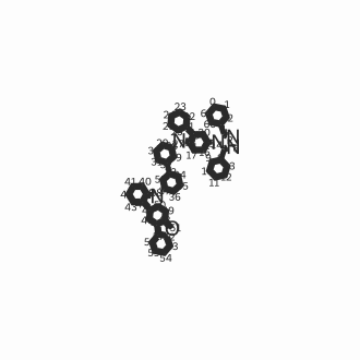 c1ccc(-c2nnc(-c3ccccc3)n2-c2ccc3c(c2)c2ccccc2n3-c2cccc(-c3cccc(-n4c5ccccc5c5cc6c(cc54)oc4ccccc46)c3)c2)cc1